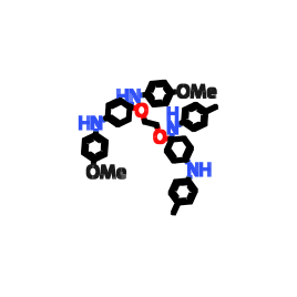 COc1ccc(NC2=CCC(Nc3ccc(OC)cc3)(OCCOC3(Nc4ccc(C)cc4)C=CC(Nc4ccc(C)cc4)=CC3)C=C2)cc1